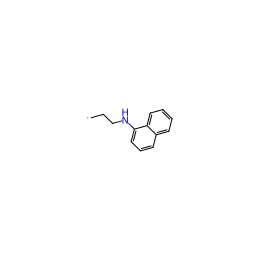 [CH2]CCNc1cccc2ccccc12